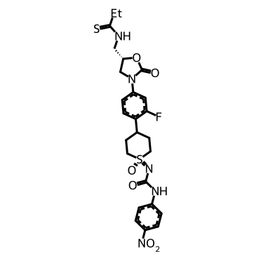 CCC(=S)NC[C@H]1CN(c2ccc(C3CCS(=O)(=NC(=O)Nc4ccc([N+](=O)[O-])cc4)CC3)c(F)c2)C(=O)O1